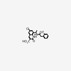 CC(NC(=O)Cc1ccccc1F)c1cc(Cl)cc2cc(C(=O)O)c(=O)[nH]c12